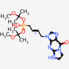 COC(C)(C)O[PH](O)(C/C=C/Cn1cnc2c(=O)n3cc[nH]c3nc21)OC(C)(C)OC